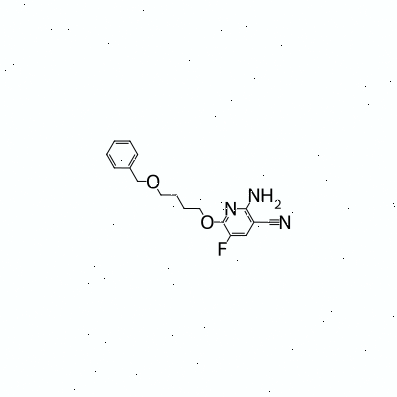 N#Cc1cc(F)c(OCCCCOCc2ccccc2)nc1N